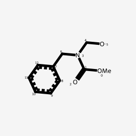 COC(=O)N(C[O])Cc1ccccc1